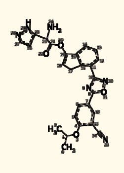 CC(C)Oc1ccc(-c2nc(-c3cccc4c3CC=C4OC(=O)C(N)c3ccn[nH]3)no2)cc1C#N